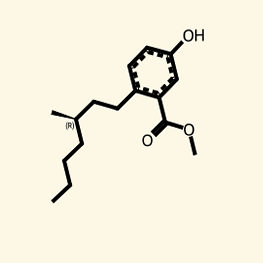 CCCC[C@@H](C)CCc1ccc(O)cc1C(=O)OC